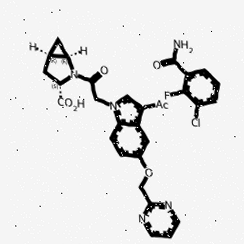 CC(=O)c1cn(CC(=O)N2[C@@H]3C[C@@H]3C[C@H]2C(=O)O)c2ccc(OCc3ncccn3)cc12.NC(=O)c1cccc(Cl)c1F